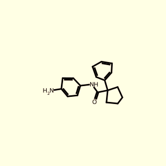 Nc1ccc(NC(=O)C2(c3ccccc3)CCCC2)cc1